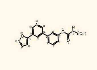 CCCCCCCCNC(=O)Oc1cccc(-c2cncc(-c3ccno3)c2)c1